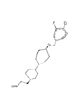 C=CCC[C@H]1CC[C@H]([C@H]2CC[C@H](OCc3ccc(Cl)c(F)c3)CC2)CC1